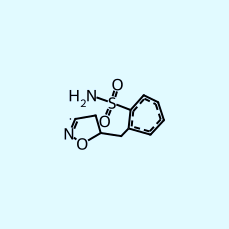 NS(=O)(=O)c1ccccc1CC1C[C]=NO1